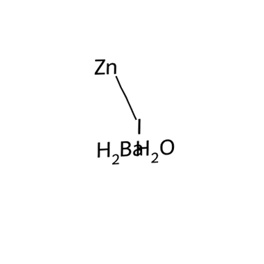 O.[BaH2].[Zn][I]